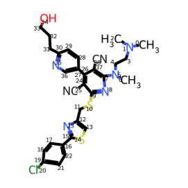 CN(C)CCN(C)c1nc(SCc2csc(-c3ccc(Cl)cc3)n2)c(C#N)c(-c2ccc(CCCO)nc2)c1C#N